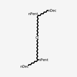 CCCCCCCCCCCCCCCCC(CCCCC)CCCCCCCCCCCCOCCCCCCCCCCCCC(CCCCC)CCCCCCCCCCCCCCCC